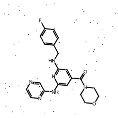 O=C(c1cc(NCc2ccc(F)cc2)nc(Nc2cnccn2)c1)N1CCOCC1